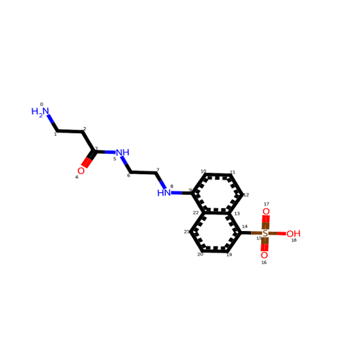 NCCC(=O)NCCNc1cccc2c(S(=O)(=O)O)cccc12